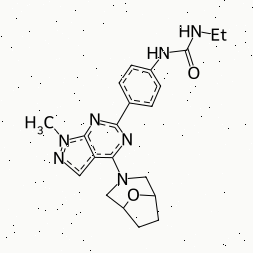 CCNC(=O)Nc1ccc(-c2nc(N3CC4CCC(C3)O4)c3cnn(C)c3n2)cc1